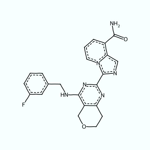 NC(=O)c1cccn2c(-c3nc4c(c(NCc5cccc(F)c5)n3)COCC4)ncc12